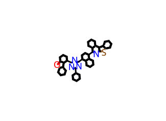 c1ccc(-c2nc(-c3ccc(-c4nc5sc6ccccc6c5c5ccccc45)c4ccccc34)nc(-c3cccc4oc5ccccc5c34)n2)cc1